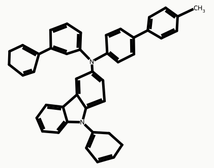 Cc1ccc(-c2ccc(N(c3cccc(C4=CCCC=C4)c3)c3ccc4c(c3)c3ccccc3n4C3=CC=CCC3)cc2)cc1